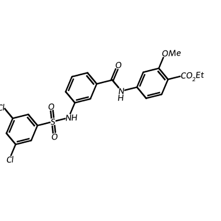 CCOC(=O)c1ccc(NC(=O)c2cccc(NS(=O)(=O)c3cc(Cl)cc(Cl)c3)c2)cc1OC